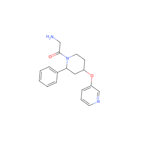 NCC(=O)N1CCC(Oc2cccnc2)CC1c1ccccc1